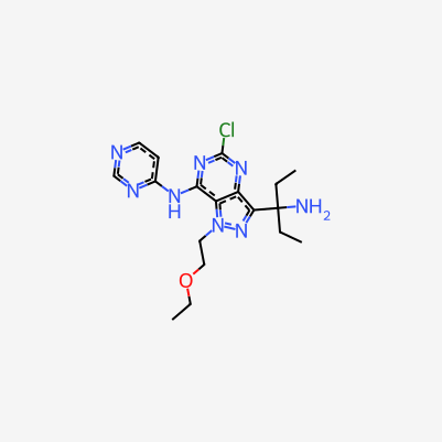 CCOCCn1nc(C(N)(CC)CC)c2nc(Cl)nc(Nc3ccncn3)c21